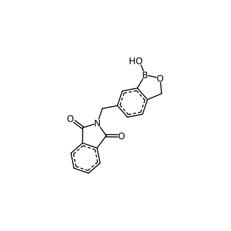 O=C1c2ccccc2C(=O)N1Cc1ccc2c(c1)B(O)OC2